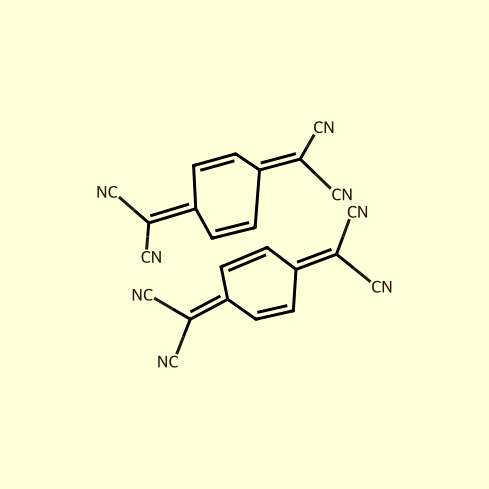 N#CC(C#N)=c1ccc(=C(C#N)C#N)cc1.N#CC(C#N)=c1ccc(=C(C#N)C#N)cc1